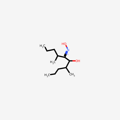 CCCC(C)/C(=N\O)C(O)C(C)CCC